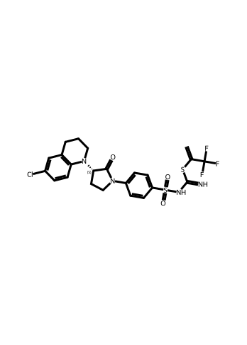 C=C(SC(=N)NS(=O)(=O)c1ccc(N2CC[C@H](N3CCCc4cc(Cl)ccc43)C2=O)cc1)C(F)(F)F